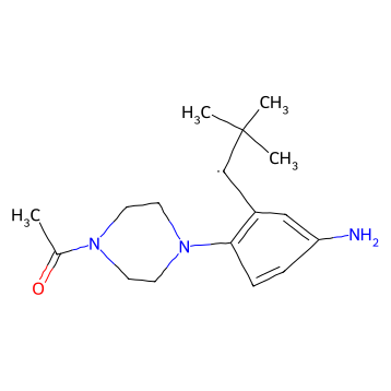 CC(=O)N1CCN(c2ccc(N)cc2[CH]C(C)(C)C)CC1